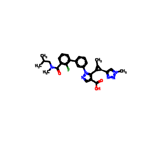 CC1=C(c2c(C(=O)O)cnn2-c2cccc(-c3cccc(C(=O)N(C)CC(C)C)c3F)c2)[C@@H]1c1cn(C)nn1